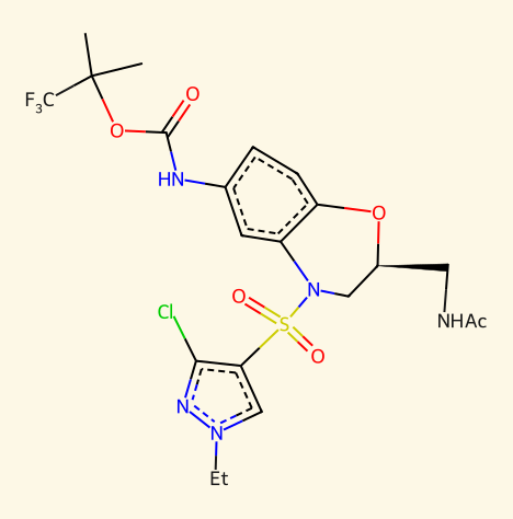 CCn1cc(S(=O)(=O)N2C[C@H](CNC(C)=O)Oc3ccc(NC(=O)OC(C)(C)C(F)(F)F)cc32)c(Cl)n1